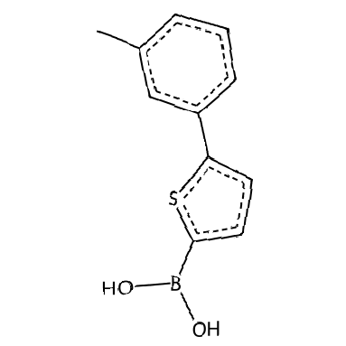 Cc1cccc(-c2ccc(B(O)O)s2)c1